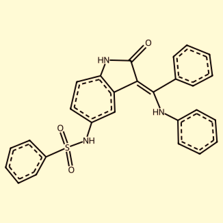 O=C1Nc2ccc(NS(=O)(=O)c3ccccc3)cc2/C1=C(\Nc1ccccc1)c1ccccc1